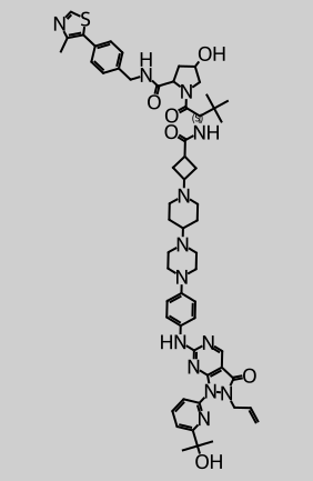 C=CCn1c(=O)c2cnc(Nc3ccc(N4CCN(C5CCN(C6CC(C(=O)N[C@H](C(=O)N7CC(O)CC7C(=O)NCc7ccc(-c8scnc8C)cc7)C(C)(C)C)C6)CC5)CC4)cc3)nc2n1-c1cccc(C(C)(C)O)n1